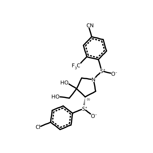 N#Cc1ccc([S+]([O-])N2C[C@H]([S+]([O-])c3ccc(Cl)cc3)C(O)(CO)C2)c(C(F)(F)F)c1